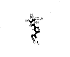 Cn1cc(-c2cncc(C(=O)NC(N)(CO)C(=O)O)c2)cn1